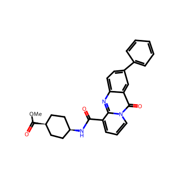 COC(=O)[C@H]1CC[C@@H](NC(=O)c2cccn3c(=O)c4cc(-c5ccccc5)ccc4nc23)CC1